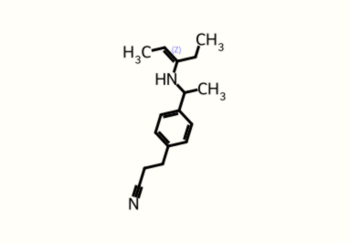 C/C=C(/CC)NC(C)c1ccc(CCC#N)cc1